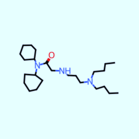 CCCCN(CCCC)CCCNCC(=O)N(C1CCCCC1)C1CCCCC1